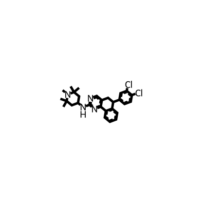 CN1C(C)(C)CC(Nc2ncc3c(n2)-c2ccccc2C(c2ccc(Cl)c(Cl)c2)C3)CC1(C)C